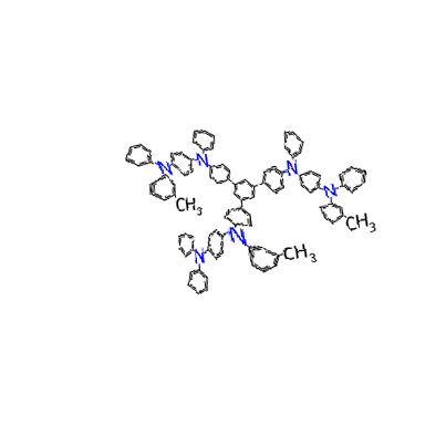 Cc1cccc(N(c2ccccc2)c2ccc(N(c3ccccc3)c3ccc(-c4cc(-c5ccc(N(c6ccccc6)c6ccc(N(c7ccccc7)c7cccc(C)c7)cc6)cc5)cc(-c5ccc(N(c6ccc(N(c7ccccc7)c7ccccc7)cc6)c6cccc(C)c6)cc5)c4)cc3)cc2)c1